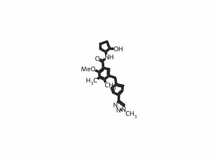 COc1c(C(=O)NC2CCCC2O)cc(Cc2ccc(-c3cn(C)nn3)cc2)c(C)c1C